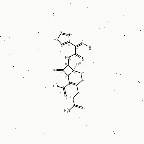 NC(=O)OCC1=C(C(=O)O)N2C(=O)C(NC(=O)/C(=N\O)c3cscn3)[C@H]2SC1